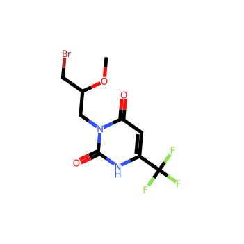 COC(CBr)Cn1c(=O)cc(C(F)(F)F)[nH]c1=O